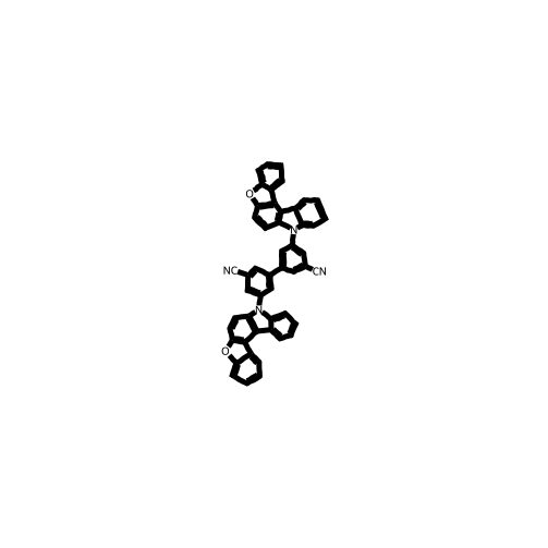 N#Cc1cc(-c2cc(C#N)cc(-n3c4ccccc4c4c5c(ccc43)oc3ccccc35)c2)cc(-n2c3ccccc3c3c4c(ccc32)oc2ccccc24)c1